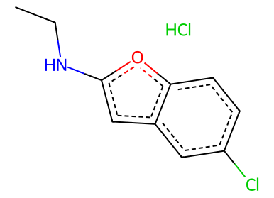 CCNc1cc2cc(Cl)ccc2o1.Cl